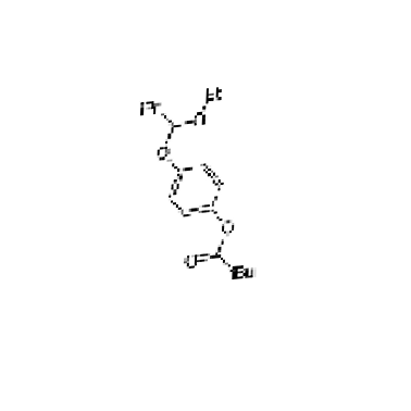 CCOC(Oc1ccc(OC(=O)C(C)CC)cc1)C(C)C